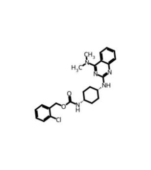 CN(C)c1nc(N[C@H]2CC[C@@H](NC(=O)OCc3ccccc3Cl)CC2)nc2ccccc12